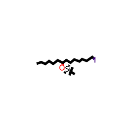 CCCCCCC(CCCCCCCI)O[Si](C)(C)C(C)(C)C